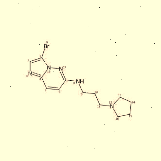 Brc1cnc2ccc(NCCCN3CCCC3)nn12